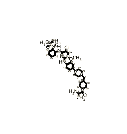 COc1cc(N2CCN(CC3CCN(C(=O)C(C)N)CC3)CC2)ccc1Nc1ncc(Cl)c(Nc2ccccc2N(C)S(C)(=O)=O)n1